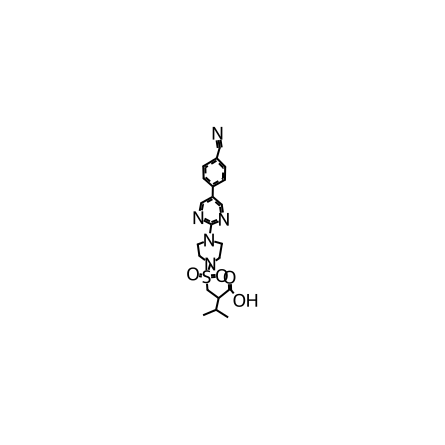 CC(C)C(CS(=O)(=O)N1CCN(c2ncc(-c3ccc(C#N)cc3)cn2)CC1)C(=O)O